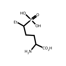 CCC(CCC(N)C(=O)O)P(=O)(O)O